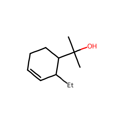 CCC1C=CCCC1C(C)(C)O